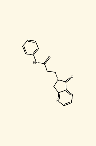 O=C(CCN1Cc2ncccc2C1=O)Nc1ccccc1